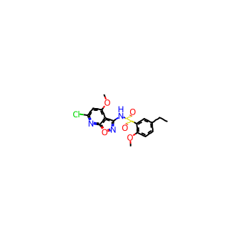 CCc1ccc(OC)c(S(=O)(=O)Nc2noc3nc(Cl)cc(OC)c23)c1